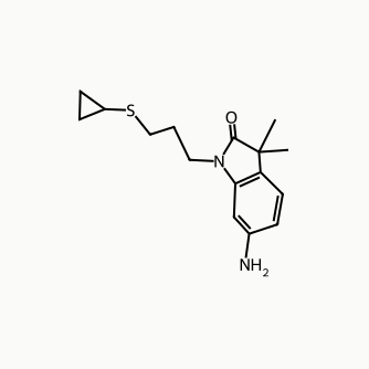 CC1(C)C(=O)N(CCCSC2CC2)c2cc(N)ccc21